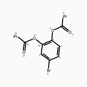 CC(C)C(=O)Oc1ccc(Br)cc1OC(=O)C(C)C